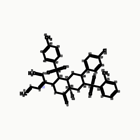 C=C/C=C(\C=C)C1CC(=O)[C@@H]2CC(S(=O)(=O)c3ccccc3C)C(c3ccc(Cl)cc3)CC2C1S(=O)(=O)c1ccc(C)cc1